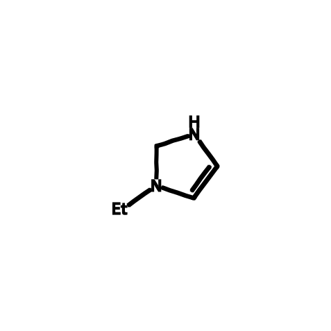 CCN1C=CNC1